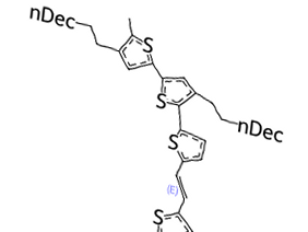 CCCCCCCCCCCCc1cc(-c2cc(CCCCCCCCCCCC)c(-c3ccc(/C=C/c4ccc(C)s4)s3)s2)sc1C